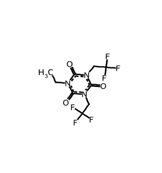 CCn1c(=O)n(CC(F)(F)F)c(=O)n(CC(F)(F)F)c1=O